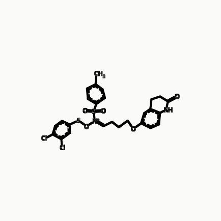 Cc1ccc(S(=O)(=O)[N+](=CCCCOc2ccc3c(c2)CCC(=O)N3)OSc2ccc(Cl)c(Cl)c2)cc1